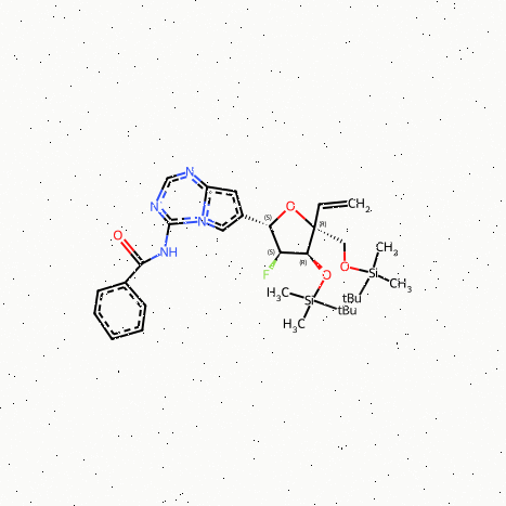 C=C[C@]1(CO[Si](C)(C)C(C)(C)C)O[C@@H](c2cc3ncnc(NC(=O)c4ccccc4)n3c2)[C@H](F)[C@@H]1O[Si](C)(C)C(C)(C)C